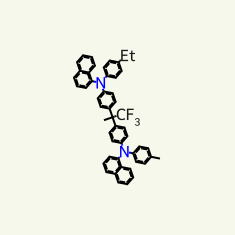 CCc1ccc(N(c2ccc(C(C)(c3ccc(N(c4ccc(C)cc4)c4cccc5ccccc45)cc3)C(F)(F)F)cc2)c2cccc3ccccc23)cc1